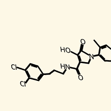 Cc1ccccc1N1CC(C(=O)NCCCc2ccc(Cl)c(Cl)c2)=C(O)C1=O